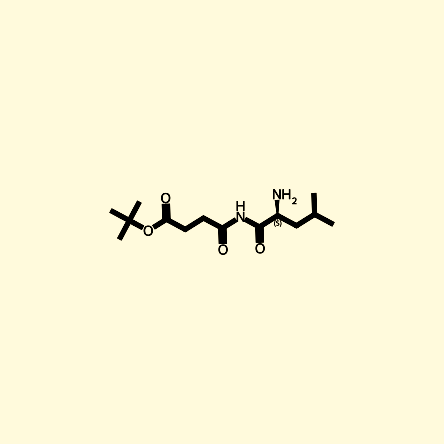 CC(C)C[C@H](N)C(=O)NC(=O)CCC(=O)OC(C)(C)C